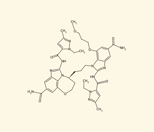 CCn1nc(C)cc1C(=O)Nc1nc2cc(C(N)=O)cc(OCCCOC)c2n1CCC[C@H]1CCOc2cc(C(N)=O)cc3nc(NC(=O)c4cc(C)nn4CC)n1c23